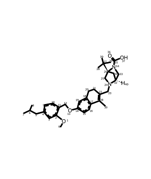 COc1cc(CC(C)C)ccc1COc1ccc2c(c1)CCC(CN1C[C@@]3(C(C)(C)C)C[C@H]1CN3C(=O)O)=C2C